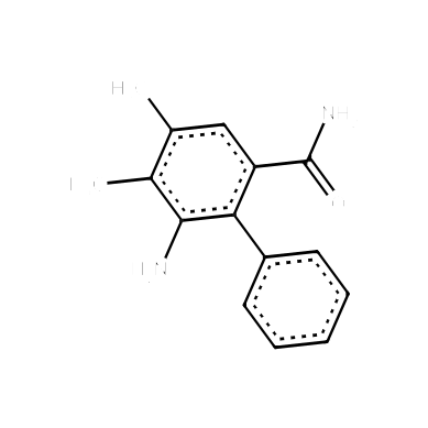 Cc1cc(C(N)=O)c(-c2ccccc2)c(N)c1C